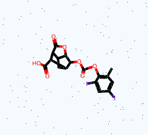 Cc1cc(I)cc(I)c1OC(=O)OC1C2CC3C1OC(=O)C3C2C(=O)O